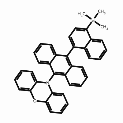 C[Si](C)(C)c1ccc(-c2c3ccccc3c(N3c4ccccc4Oc4ccccc43)c3ccccc23)c2ccccc12